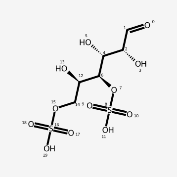 O=C[C@H](O)[C@@H](O)[C@@H](OS(=O)(=O)O)[C@H](O)COS(=O)(=O)O